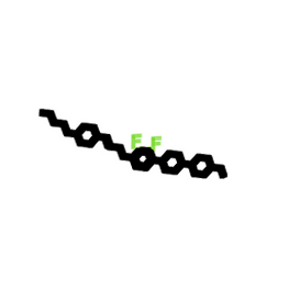 CCCCCC1CCC(/C=C/CCc2ccc(C3CCC(C4CCC(CC)CC4)CC3)c(F)c2F)CC1